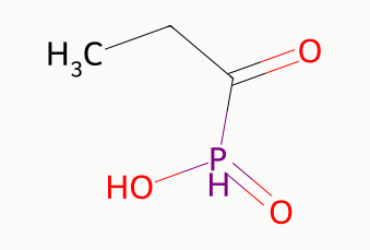 CCC(=O)[PH](=O)O